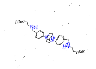 CCCCCCCCCCCCNCc1ccc([N+]23CC[N+](c4ccc(CNCCCCCCCCCCCC)cc4)(CC2)CC3)cc1